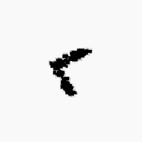 CCC(CC)C(O)C(C)O.CCC(CC)CC(O)CO.CCC(CCCO)C(C)O.CCC(CCO)CC(C)O.CCC(CCO)CCCO.CCC(CO)CCCCO.CCC(O)C(CC)CCO.CCC(O)C(O)(CC)CC.CCCC(CC)C(O)CO.CCCC(O)(CC)C(C)O.CCCC(O)(CC)CCO.CCCCC(O)(CC)CO.CCCCCCC(C)(O)O